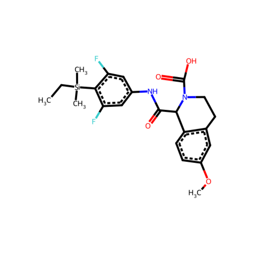 CC[Si](C)(C)c1c(F)cc(NC(=O)C2c3ccc(OC)cc3CCN2C(=O)O)cc1F